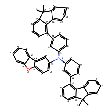 CC1(C)c2ccccc2-c2c(-c3cccc(N(c4cccc(-c5cccc6c5-c5ccccc5C6(C)C)c4)c4ccc5oc6ccccc6c5c4)c3)cccc21